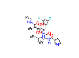 CCCC(CCC)CCC(NC(=O)c1cccnc1)C(=O)N[C@@H](Cc1cc(F)cc(F)c1)[C@@H](O)[C@H](O)[C@H](C(=O)NCC(C)C)C(C)C